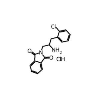 Cl.NC(Cc1ccccc1Cl)CN1C(=O)c2ccccc2C1=O